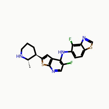 C[C@@H]1NCCC[C@H]1c1cc2c(Nc3ccc4scnc4c3F)c(F)cnc2s1